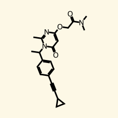 Cc1nc(OCC(=O)N(C)C)cc(=O)n1C(C)c1ccc(C#CC2CC2)cc1